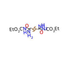 CCOC(=O)CNC(=O)[C@@H](N)CSSC[C@H](N)C(=O)NCC(=O)OCC